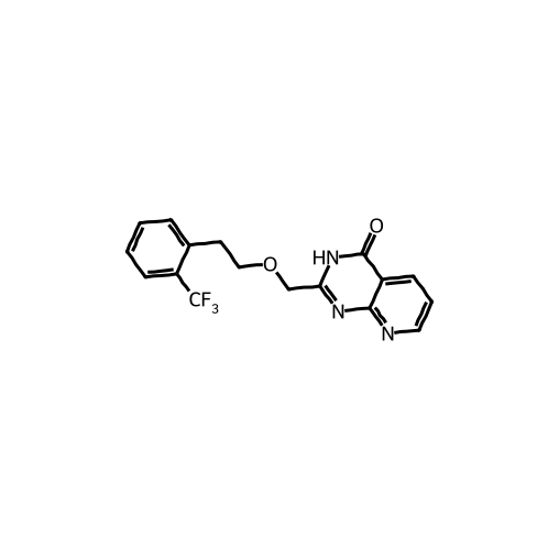 O=c1[nH]c(COCCc2ccccc2C(F)(F)F)nc2ncccc12